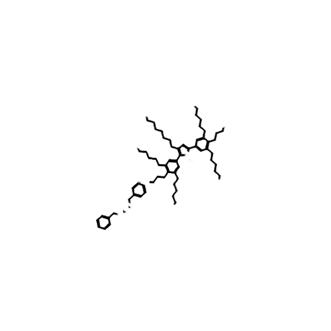 CCCCCCCCC1=C(c2cc(CCCCCC)c(CCCC)c(CCCCCC)c2)[N+](=[N-])C(c2cc(CCCCCC)c(CCCC)c(CCCCCC)c2)=C1.c1ccc(C[O][Ni][O]Cc2ccccc2)cc1